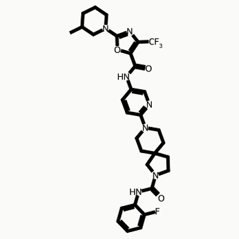 CC1CCCN(c2nc(C(F)(F)F)c(C(=O)Nc3ccc(N4CCC5(CCN(C(=O)Nc6ccccc6F)C5)CC4)nc3)o2)C1